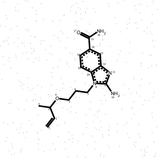 C=CC(C)OCCCn1c(N)nc2cc(C(N)=O)ccc21